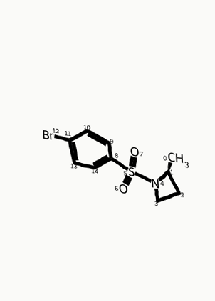 C[C@H]1CCN1S(=O)(=O)c1ccc(Br)cc1